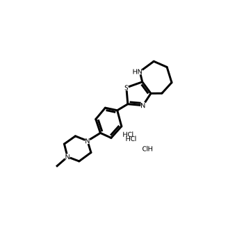 CN1CCN(c2ccc(-c3nc4c(s3)NCCCC4)cc2)CC1.Cl.Cl.Cl